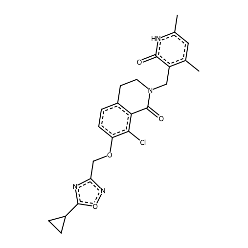 Cc1cc(C)c(CN2CCc3ccc(OCc4noc(C5CC5)n4)c(Cl)c3C2=O)c(=O)[nH]1